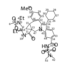 CC[C@@H](CN(CC)S(C)(=O)=O)N(C)C(=O)C12CC1c1cc(OC)ccc1-c1c(C3CCCCC3)c3ccc(C(=O)NS(=O)(=O)N(C)C)cc3n1C2